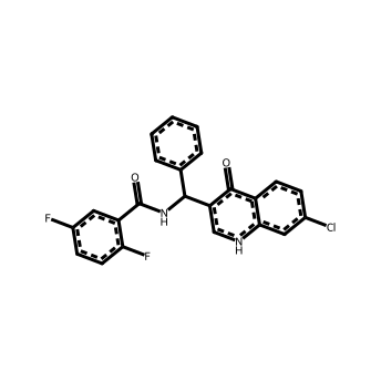 O=C(NC(c1ccccc1)c1c[nH]c2cc(Cl)ccc2c1=O)c1cc(F)ccc1F